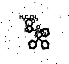 CC1(C)Cn2ncc(S(N)(=O)=NC(c3ccccc3)(c3ccccc3)c3ccccc3)c2O1